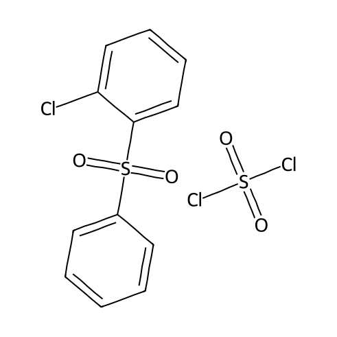 O=S(=O)(Cl)Cl.O=S(=O)(c1ccccc1)c1ccccc1Cl